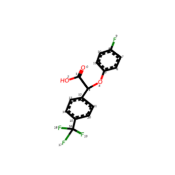 O=C(O)C(Oc1ccc(F)cc1)c1ccc(C(F)(F)F)cc1